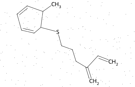 C=CC(=C)CCCSC1C=CC=CC1C